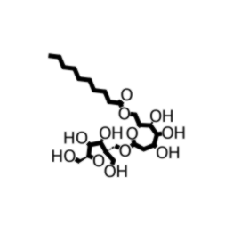 CCCCCCCCCC(=O)OCC1OC(OC[C@]2(CO)O[C@@H](CO)C(O)[C@H]2O)CC(O)C(O)[C@H]1O